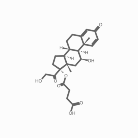 C[C@]12C=CC(=O)C=C1CC[C@@H]1[C@@H]2[C@@H](O)C[C@@]2(C)[C@H]1CC[C@]2(OC(=O)CCC(=O)O)C(=O)CO